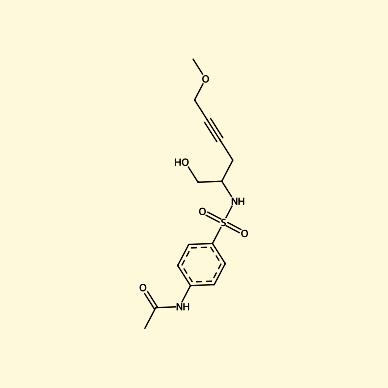 COCC#CCC(CO)NS(=O)(=O)c1ccc(NC(C)=O)cc1